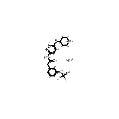 Cl.O=C(Cc1cccc(OC(F)(F)F)c1)Nc1ccc(OC2CCNCC2)nn1